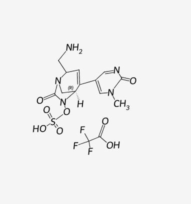 Cn1cc(C2=CC(CN)N3C[C@@H]2N(OS(=O)(=O)O)C3=O)cnc1=O.O=C(O)C(F)(F)F